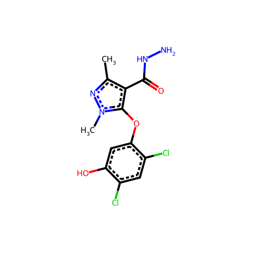 Cc1nn(C)c(Oc2cc(O)c(Cl)cc2Cl)c1C(=O)NN